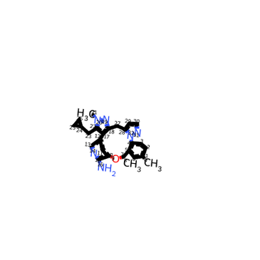 Cc1ccc2c(c1)C(C)Oc1cc(cnc1N)-c1c(nn(C)c1CC1CC1)Cc1ccnn1-2